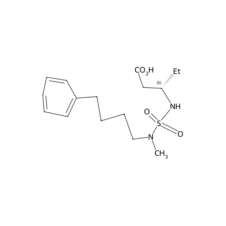 CC[C@@H](CC(=O)O)NS(=O)(=O)N(C)CCCCc1ccccc1